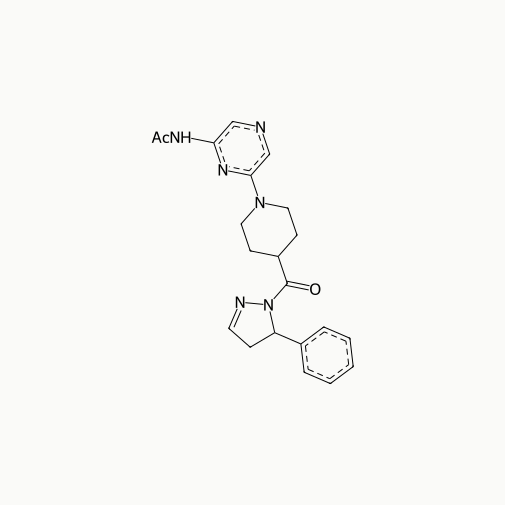 CC(=O)Nc1cncc(N2CCC(C(=O)N3N=CCC3c3ccccc3)CC2)n1